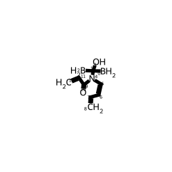 BC(B)(O)N(/C=C\C=C)C(=O)C=C